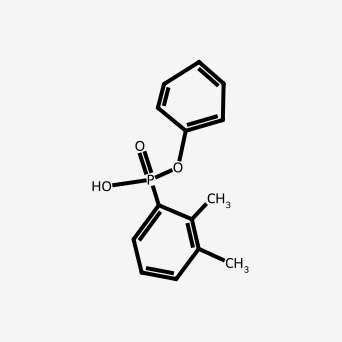 Cc1cccc(P(=O)(O)Oc2ccccc2)c1C